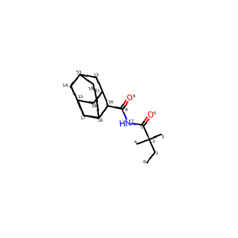 CCC(C)(C)C(=O)NC(=O)C1C2CC3CC(C2)CC1C3